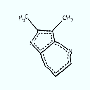 Cc1sc2cccnc2c1C